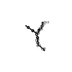 C#Cc1ccc(C#Cc2ccc(C#CC3(OC(=O)c4ccc(OC(=O)C5CCC(C(=O)OCCCCCCCC)CC5)cc4)CCC(c4ccc(OC(=O)C5CCC(C(=O)OCCCCOC(=O)C=C)CC5)cc4)CC3)cc2)cc1